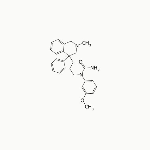 COc1cccc(N(CCCC2(c3ccccc3)CN(C)Cc3ccccc32)C(N)=O)c1